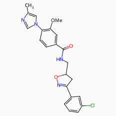 COc1cc(C(=O)NCC2CC(c3cccc(Cl)c3)=NO2)ccc1-n1cnc(C)c1